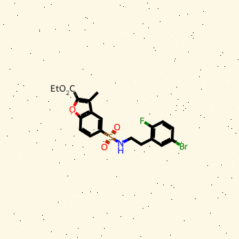 CCOC(=O)c1oc2ccc(S(=O)(=O)NCCc3cc(Br)ccc3F)cc2c1C